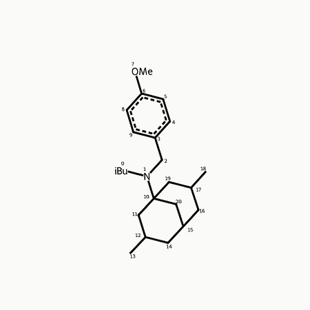 CCC(C)N(Cc1ccc(OC)cc1)C12CC(C)CC(CC(C)C1)C2